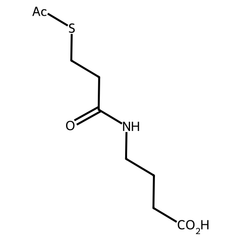 CC(=O)SCCC(=O)NCCCC(=O)O